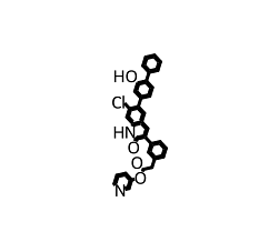 O=C(Cc1cccc(-c2cc3cc(-c4ccc(-c5ccccc5)c(O)c4)c(Cl)cc3[nH]c2=O)c1)Oc1cccnc1